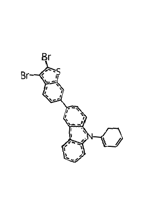 Brc1sc2cc(-c3ccc4c(c3)c3ccccc3n4C3=CC=CCC3)ccc2c1Br